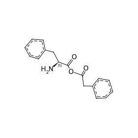 N[C@@H](Cc1ccccc1)C(=O)OC(=O)Cc1ccccc1